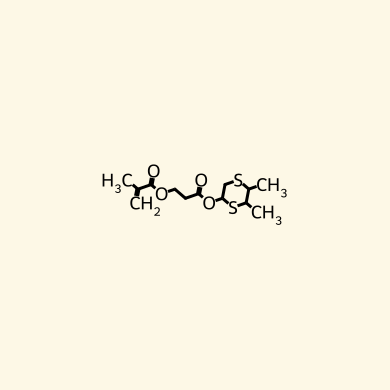 C=C(C)C(=O)OCCC(=O)OC1CSC(C)C(C)S1